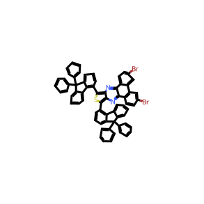 Brc1ccc2c(c1)c1cc(Br)ccc1c1nc3c(-c4cccc5c4-c4ccccc4C5(c4ccccc4)c4ccccc4)sc(-c4cccc5c4-c4ccccc4C5(c4ccccc4)c4ccccc4)c3nc21